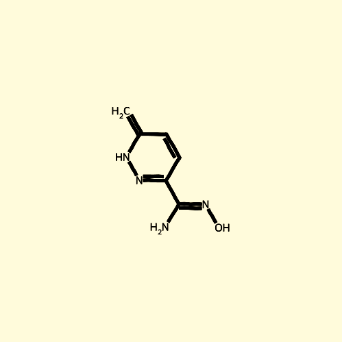 C=C1C=CC(/C(N)=N/O)=NN1